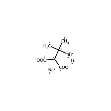 CCCC(C)(C)C(C(=O)[O-])C(=O)[O-].[Li+].[Na+]